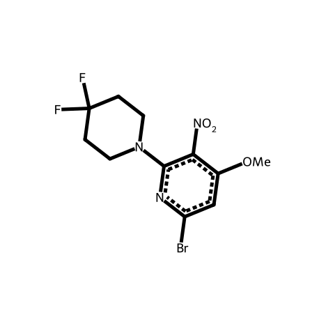 COc1cc(Br)nc(N2CCC(F)(F)CC2)c1[N+](=O)[O-]